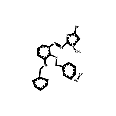 CC(=O)[O-].C[n+]1cc(Br)sc1N=Nc1cccc(NCc2ccccc2)c1NCc1ccccc1